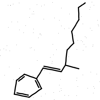 CCCCCCC(C)C=Cc1ccccc1